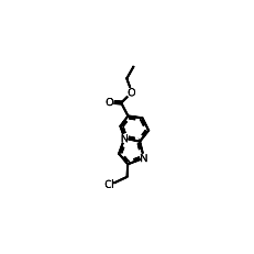 CCOC(=O)c1ccc2nc(CCl)cn2c1